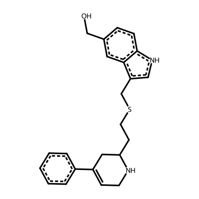 OCc1ccc2[nH]cc(CSCCC3CC(c4ccccc4)=CCN3)c2c1